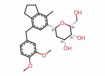 COc1ccc(Cc2cc([C@H]3C[C@@H](O)[C@@H](O)[C@@H](CO)O3)c(C)c3c2CCC3)cc1OC